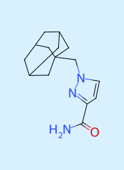 NC(=O)c1ccn(CC23CC4CC(CC(C4)C2)C3)n1